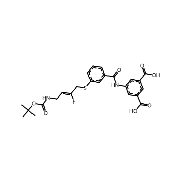 CC(C)(C)OC(=O)NC/C=C(\F)CSc1cccc(C(=O)Nc2cc(C(=O)O)cc(C(=O)O)c2)c1